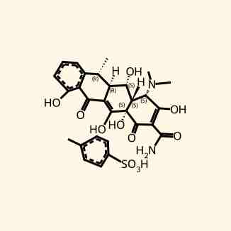 C[C@H]1c2cccc(O)c2C(=O)C2=C(O)[C@]3(O)C(=O)C(C(N)=O)=C(O)[C@@H](N(C)C)[C@H]3[C@@H](O)[C@@H]21.Cc1ccc(S(=O)(=O)O)cc1